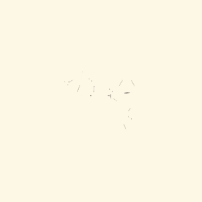 Cc1noc(C)c1NC(=O)Cn1nc(C2CCC(=O)NC2=O)c2ccccc21